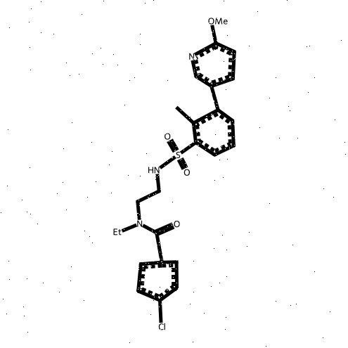 CCN(CCNS(=O)(=O)c1cccc(-c2ccc(OC)nc2)c1C)C(=O)c1ccc(Cl)cc1